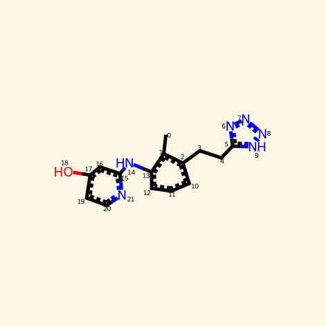 Cc1c(CCc2nnn[nH]2)cccc1Nc1cc(O)ccn1